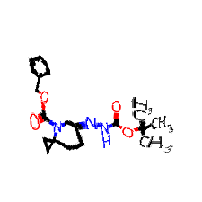 CC(C)(C)OC(=O)N/N=C1\CCC2(CC2)N(C(=O)OCc2ccccc2)C1